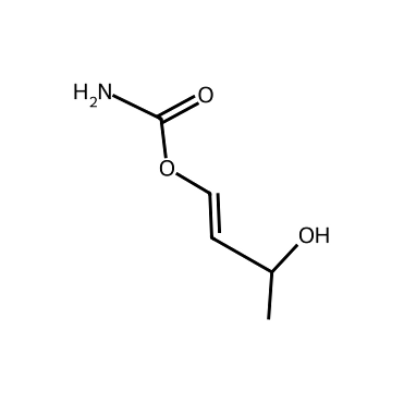 CC(O)/C=C/OC(N)=O